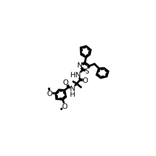 COc1cc(OC)cc(C(=O)NC(C)(C)C(=O)Nc2nc(-c3ccccc3)c(Cc3ccccc3)s2)c1